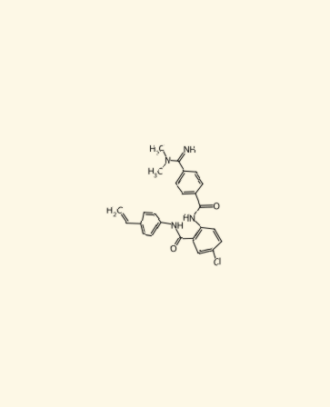 C=Cc1ccc(NC(=O)c2cc(Cl)ccc2NC(=O)c2ccc(C(=N)N(C)C)cc2)cc1